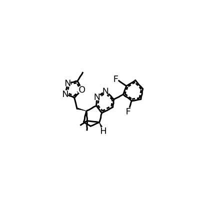 Cc1nnc(C[C@@]23CC[C@@H](c4cc(-c5c(F)cccc5F)nnc42)C3(C)C)o1